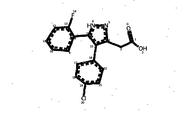 O=C(O)Cc1n[nH]c(-c2ccccc2F)c1-c1ccc(Cl)cc1